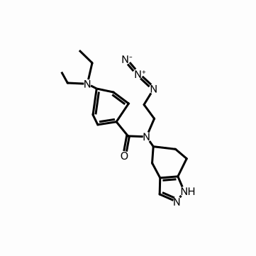 CCN(CC)c1ccc(C(=O)N(CCN=[N+]=[N-])C2CCc3[nH]ncc3C2)cc1